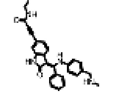 CCNC(=O)C#Cc1ccc2c(c1)NC(=O)C2=C(Nc1ccc(CNC)cc1)c1ccccc1